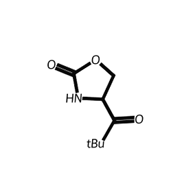 CC(C)(C)C(=O)C1COC(=O)N1